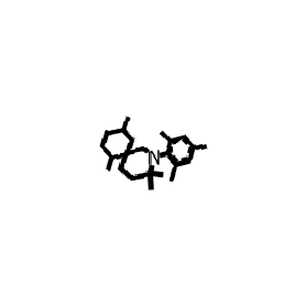 Cc1cc(C)c(N2CC3(CCC2(C)C)CC(C)CCC3C)c(C)c1